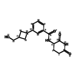 O=C1CCC(NC(=O)c2cccc(N3CC(CO)C3)c2)C(=O)N1